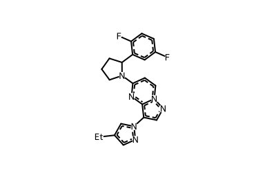 CCc1cnn(-c2cnn3ccc(N4CCCC4c4cc(F)ccc4F)nc23)c1